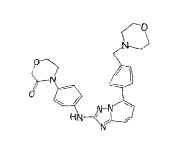 O=C1COCCN1c1ccc(Nc2nc3cccc(-c4ccc(CN5CCOCC5)cc4)n3n2)cc1